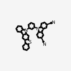 N#Cc1ccc2c(c1)c1cc(C#N)ccc1n2-c1cccc(-n2c3ccccc3c3cc4c(cc32)sc2ccccc24)c1